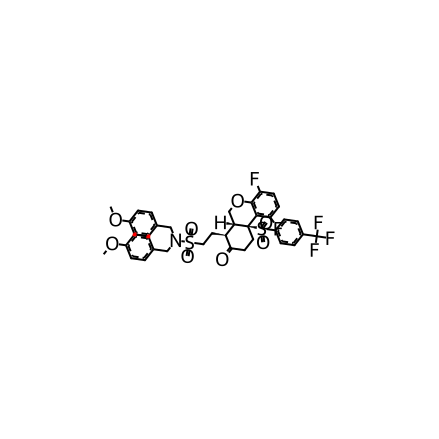 COc1ccc(CN(Cc2ccc(OC)cc2)S(=O)(=O)CC[C@@H]2C(=O)CC[C@@]3(S(=O)(=O)c4ccc(C(F)(F)F)cc4)c4c(F)ccc(F)c4OC[C@@H]23)cc1